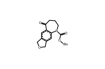 CC(C)(C)OC(=O)N1CCCC(=O)c2cc3c(cc21)COC3